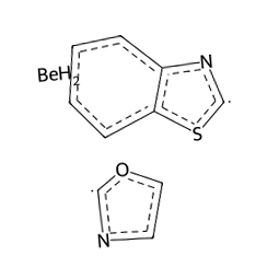 [BeH2].[c]1nc2ccccc2s1.[c]1ncco1